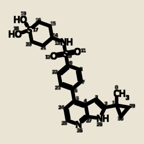 CC1(c2cc3c(-c4ccc(S(=O)(=O)NC5CCS(O)(O)CC5)cc4)ccnc3[nH]2)CC1